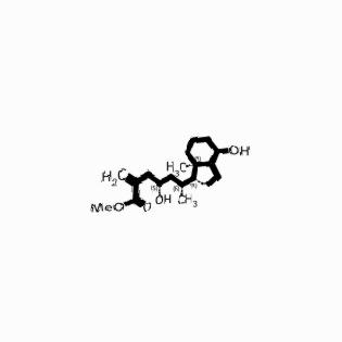 C=C(C[C@@H](O)C[C@@H](C)[C@H]1CCC2C(O)CCC[C@@]21C)C(=O)OC